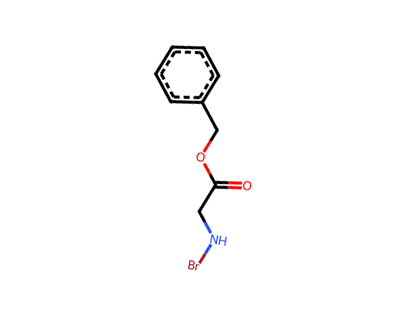 O=C(CNBr)OCc1ccccc1